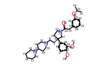 COc1ccc([C@]2(CCN3CCC(N4CCCCC4)CC3)CCN(C(=O)Cc3cccc(OC(C)C)c3)C2)cc1OC